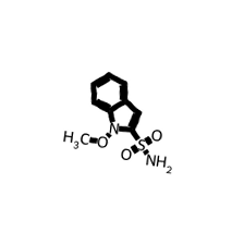 COn1c(S(N)(=O)=O)cc2ccccc21